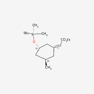 CCOC(=O)/C=C1/C[C@@H](C)C[C@H](O[Si](C)(C)C(C)(C)C)C1